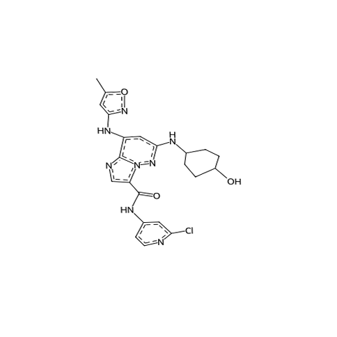 Cc1cc(Nc2cc(NC3CCC(O)CC3)nn3c(C(=O)Nc4ccnc(Cl)c4)cnc23)no1